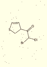 CCC(Br)C(=O)C1C=CSC1